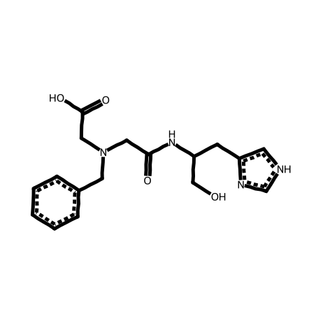 O=C(O)CN(CC(=O)NC(CO)Cc1c[nH]cn1)Cc1ccccc1